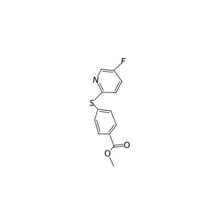 COC(=O)c1ccc(Sc2ccc(F)cn2)cc1